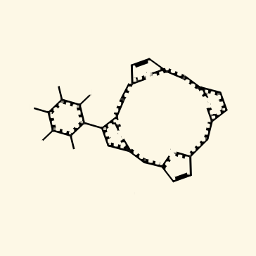 Fc1c(F)c(F)c(-c2cc3cc4nc(cc5ccc(cc6nc(cc2[nH]3)C=C6)[nH]5)C=C4)c(F)c1F.[Pt+2]